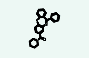 O=C(c1ccc2c(c1)N=C(c1ccccc1)c1ccccc1S2)N1CCCCC1